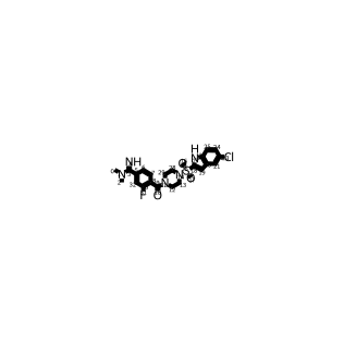 CN(C)C(=N)c1ccc(C(=O)N2CCN(S(=O)(=O)c3cc4cc(Cl)ccc4[nH]3)CC2)c(F)c1